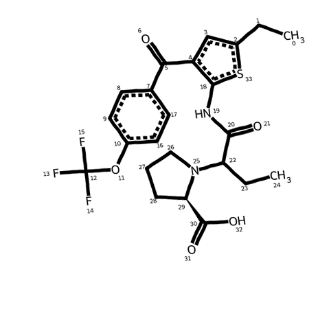 CCc1cc(C(=O)c2ccc(OC(F)(F)F)cc2)c(NC(=O)C(CC)N2CCC[C@@H]2C(=O)O)s1